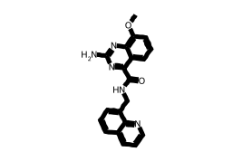 COc1cccc2c(C(=O)NCc3cccc4cccnc34)nc(N)nc12